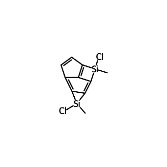 C[Si]1(Cl)C2=C3C(=C4C(=C31)[Si]4(C)Cl)C=C2